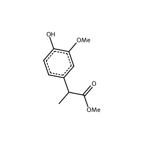 COC(=O)C(C)c1ccc(O)c(OC)c1